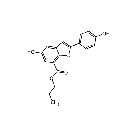 CCCOC(=O)c1cc(O)cc2cc(-c3ccc(O)cc3)oc12